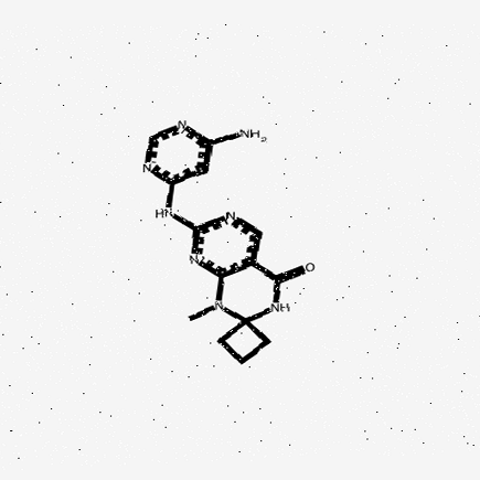 CN1c2nc(Nc3cc(N)ncn3)ncc2C(=O)NC12CCC2